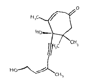 CC1=CC(=O)CC(C)(C)[C@]1(O)C#C/C(C)=C\CO